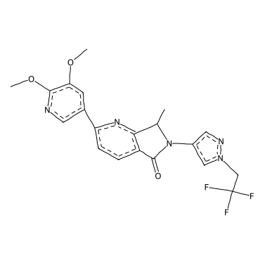 COc1cc(-c2ccc3c(n2)C(C)N(c2cnn(CC(F)(F)F)c2)C3=O)cnc1OC